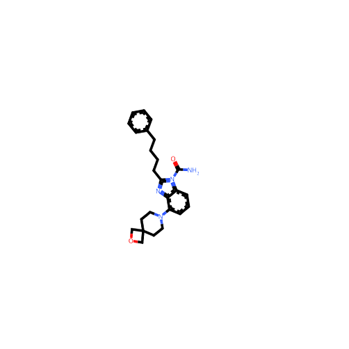 NC(=O)n1c(CCCCc2ccccc2)nc2c(N3CCC4(CC3)COC4)cccc21